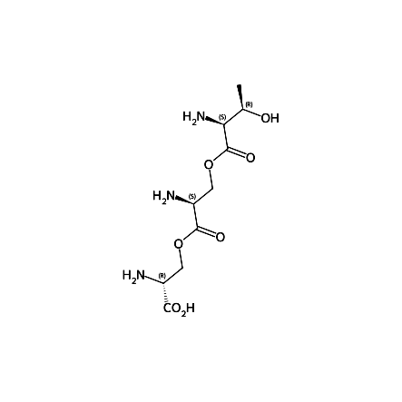 C[C@@H](O)[C@H](N)C(=O)OC[C@H](N)C(=O)OC[C@@H](N)C(=O)O